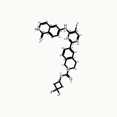 O=C(OC1CC(F)(F)C1)N1CCc2cc(-c3ncc(F)c(Nc4ccc5c(=O)[nH]ccc5c4)n3)ccc2C1